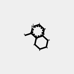 Cc1nccc2c1CCCC2